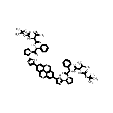 CC(C)[C@H](NC(=O)OC(C)(C)C)C(=O)N[C@@H](C(=O)N1CCC[C@H]1c1ncc(-c2cc3c4c(c2)OCc2cc(-c5cnc([C@@H]6CCCN6C(=O)[C@H](NC(=O)[C@@H](NC(=O)OC(C)(C)C)C(C)C)c6ccccc6)[nH]5)cc(c2-4)OC3)[nH]1)c1ccccc1